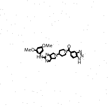 COc1cc(Nc2ncc3c(n2)CN(C2CCN(C(=O)c4ccc5[nH]nnc5c4)CC2)C3)cc(OC)c1